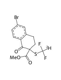 [2H]C(F)(F)SC1(C(=O)OC)CCc2cc(Br)ccc2C1=O